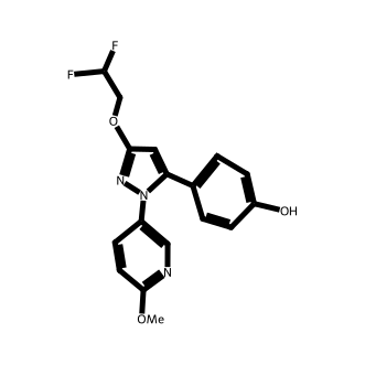 COc1ccc(-n2nc(OCC(F)F)cc2-c2ccc(O)cc2)cn1